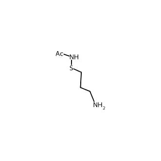 CC(=O)NSCCCN